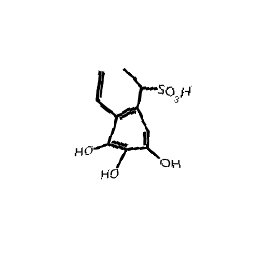 C=Cc1c(C(C)S(=O)(=O)O)cc(O)c(O)c1O